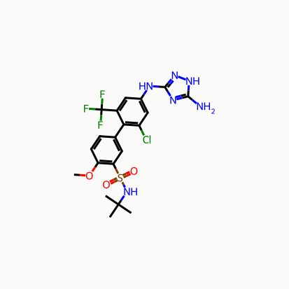 COc1ccc(-c2c(Cl)cc(Nc3n[nH]c(N)n3)cc2C(F)(F)F)cc1S(=O)(=O)NC(C)(C)C